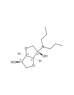 CCCN(CCC)[C@@]1(O)CO[C@@H]2[C@H](O)CO[C@@H]21